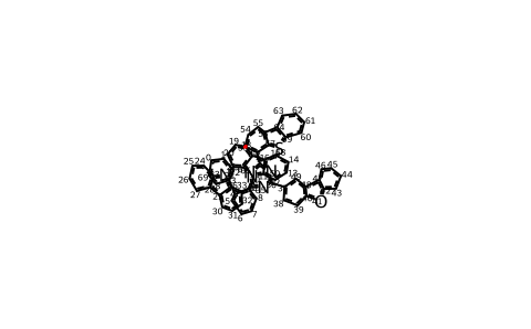 c1ccc(-c2ccccc2-n2c3ccccc3c3cccc(-n4c5ccccc5c5cccc(-c6nc(-c7ccc8oc9ccccc9c8c7)nc(-c7cccc8c7sc7ccccc78)n6)c54)c32)cc1